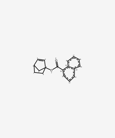 O=C(OC12C=CC(CC1)C2)c1cccc2ccccc12